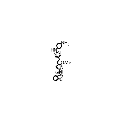 COc1nc(NS(=O)(=O)c2ccccc2Cl)ccc1CCc1cnc(N[C@H]2CC[C@H](N)CC2)nc1